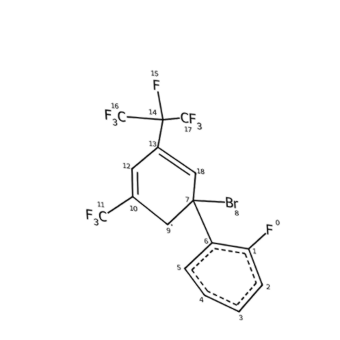 Fc1ccccc1C1(Br)[CH]C(C(F)(F)F)=CC(C(F)(C(F)(F)F)C(F)(F)F)=C1